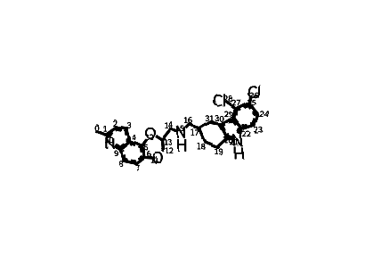 Cc1ccc2c3c(ccc2n1)OCC(CNCC1CCc2[nH]c4ccc(Cl)c(Cl)c4c2C1)O3